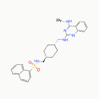 CC(C)Nc1nc(NC[C@H]2CC[C@H](CNS(=O)(=O)c3cccc4ccccc34)CC2)nc2ccccc12